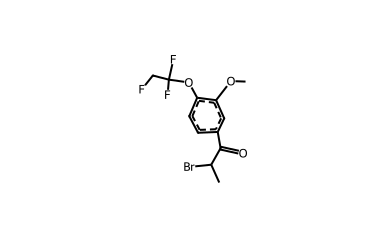 COc1cc(C(=O)C(C)Br)ccc1OC(F)(F)CF